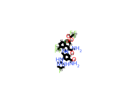 NC(=O)c1cc(NC2=NCC(F)CN2)c2cnn(C(C(N)=O)[C@@H](CC(=O)OC(=O)C(F)(F)F)c3cc(C(F)(F)F)ccc3Cl)c2c1